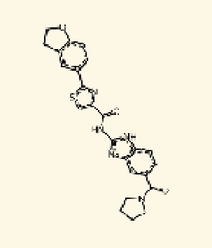 O=C(Nc1nc2cc(C(=O)N3CCCC3)ccc2[nH]1)c1csc(-c2ccc3c(c2)CCO3)n1